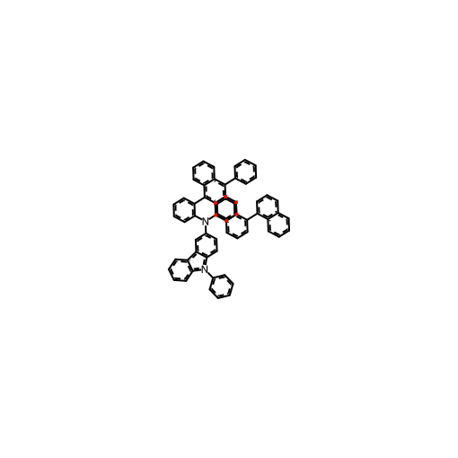 c1ccc(-c2c3ccccc3c(-c3ccccc3N(c3ccc4c(c3)c3ccccc3n4-c3ccccc3)c3cccc4c(-c5cccc6ccccc56)cccc34)c3ccccc23)cc1